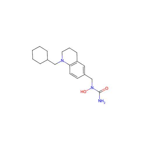 NC(=O)N(O)Cc1ccc2c(c1)CCCN2CC1CCCCC1